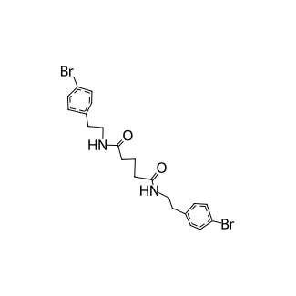 O=C(CCCC(=O)NCCc1ccc(Br)cc1)NCCc1ccc(Br)cc1